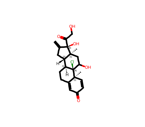 C=C1C[C@H]2[C@@H]3CCC4=CC(=O)C=C[C@]4(C)[C@@]3(Cl)C(O)C[C@]2(C)[C@@]1(O)C(=O)CO